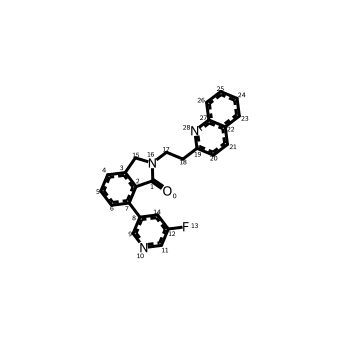 O=C1c2c(cccc2-c2cncc(F)c2)CN1CCc1ccc2ccccc2n1